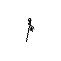 CCCCCCCCCCCCCC[C@H](C[C@H](CC)N=[N+]=[N-])OCc1ccccc1